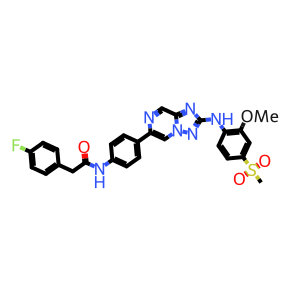 COc1cc(S(C)(=O)=O)ccc1Nc1nc2cnc(-c3ccc(NC(=O)Cc4ccc(F)cc4)cc3)cn2n1